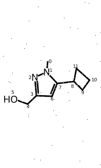 Cn1nc(CO)cc1C1CCC1